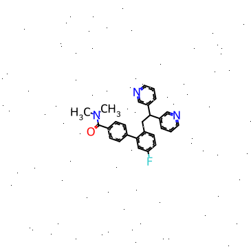 CN(C)C(=O)c1ccc(-c2cc(F)ccc2CC(c2cccnc2)c2cccnc2)cc1